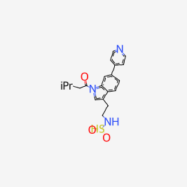 CC(C)CC(=O)n1cc(CCN[SH](=O)=O)c2ccc(-c3ccncc3)cc21